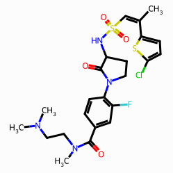 CC(=CS(=O)(=O)NC1CCN(c2ccc(C(=O)N(C)CCN(C)C)cc2F)C1=O)c1ccc(Cl)s1